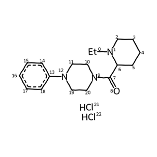 CCN1CCCCC1C(=O)N1CCN(c2ccccc2)CC1.Cl.Cl